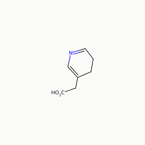 O=C(O)CC1=CN=CCC1